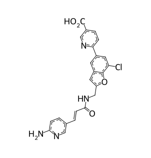 Nc1ccc(C=CC(=O)NCc2cc3cc(-c4ccc(C(=O)O)cn4)cc(Cl)c3o2)cn1